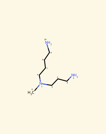 CN(CCCN)CCCCN